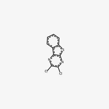 Clc1nc2sc3ccccc3c2nc1Cl